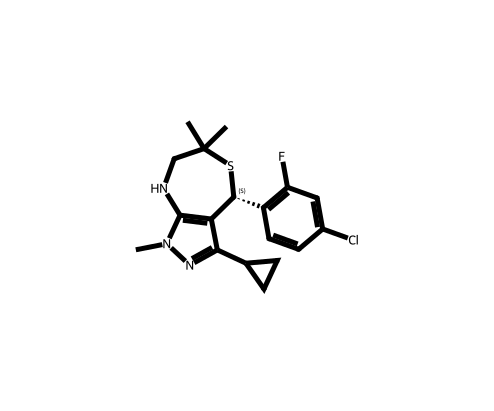 Cn1nc(C2CC2)c2c1NCC(C)(C)S[C@@H]2c1ccc(Cl)cc1F